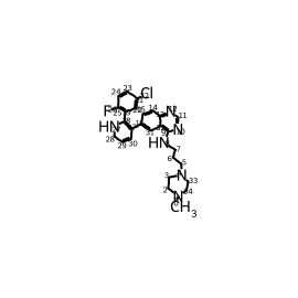 CN1CCN(CCCNc2ncnc3ccc(C4=C(c5cc(Cl)ccc5F)NCC=C4)cc23)CC1